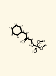 COP(=O)(OC)OCC(=O)CC1CCCCC1